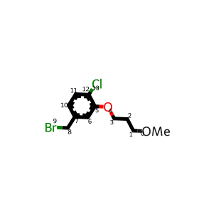 COCCCOc1cc(CBr)ccc1Cl